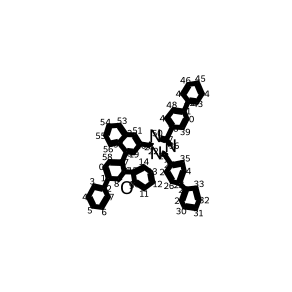 C1=C(c2ccccc2)C2Oc3ccccc3C2C(c2cc(-c3nc(-c4ccc(-c5ccccc5)cc4)nc(-c4ccc(-c5ccccc5)cc4)n3)cc3ccccc23)=C1